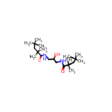 CC(C)(C)CC(C)(C)C(=O)NCC(O)CNC(=O)C(C)(C)CC(C)(C)C